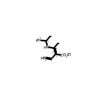 CCOC(=O)/C(C=N)=C(\C)NC(C)C(C)C